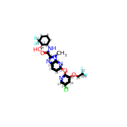 Cn1c(C(=O)N[C@H]2CCCC(F)(F)[C@@H]2O)nc2ccc(Oc3ncc(Cl)cc3OCC(F)F)nc21